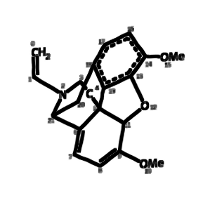 C=CN1CCC23C4=CC=C(OC)C2Oc2c(OC)ccc(c23)CC41